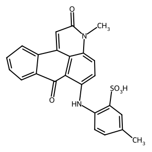 Cc1ccc(Nc2ccc3c4c(cc(=O)n3C)-c3ccccc3C(=O)c24)c(S(=O)(=O)O)c1